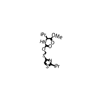 COC(=O)C(NC(=O)OCSc1csc(C(C)C)n1)C(C)C